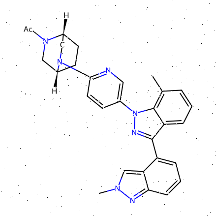 CC(=O)N1C[C@H]2CC[C@@H]1CN2c1ccc(-n2nc(-c3cccc4nn(C)cc34)c3cccc(C)c32)cn1